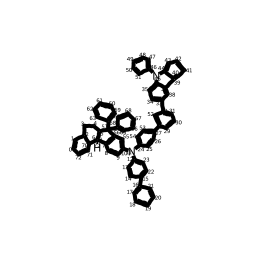 C1=CC2CCC3[C@@H](c4ccc(N(c5ccc(-c6ccccc6)cc5)c5ccc(-c6cccc(-c7ccc8c(c7)c7ccccc7n8-c7ccccc7)c6)cc5)cc4C3(c3ccccc3)c3ccccc3)C2C=C1